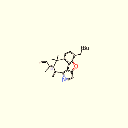 C=C/C(C)=C1/C(=C)c2nccc3oc4c(CC(C)(C)C)ccc(c4c23)C1(C)C